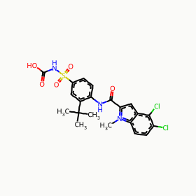 Cn1c(C(=O)Nc2ccc(S(=O)(=O)NC(=O)O)cc2C(C)(C)C)cc2c(Cl)c(Cl)ccc21